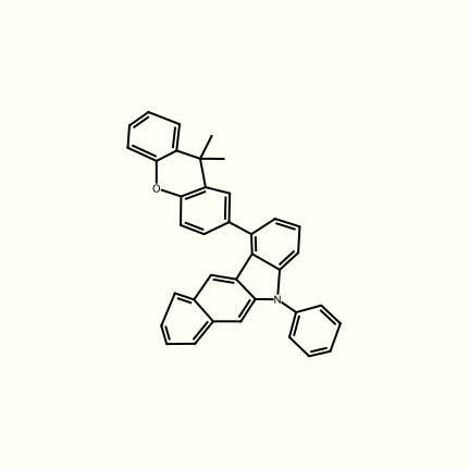 CC1(C)c2ccccc2Oc2ccc(-c3cccc4c3c3cc5ccccc5cc3n4-c3ccccc3)cc21